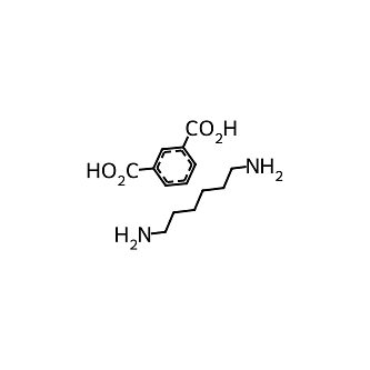 NCCCCCCN.O=C(O)c1cccc(C(=O)O)c1